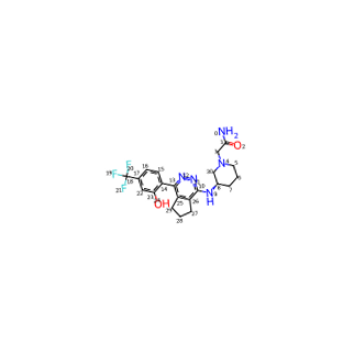 NC(=O)CN1CCC[C@@H](Nc2nnc(-c3ccc(C(F)(F)F)cc3O)c3c2CCC3)C1